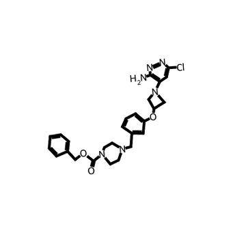 Nc1nnc(Cl)cc1N1CC(Oc2cccc(CN3CCN(C(=O)OCc4ccccc4)CC3)c2)C1